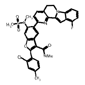 CNC(=O)c1c(-c2ccc(C)cc2Cl)oc2cc(N(C)S(C)(=O)=O)c(-c3ccc4c(n3)-c3cc5c(F)cccc5n3CC4)cc12